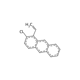 C=Cc1c(Cl)ccc2cc3ccccc3cc12